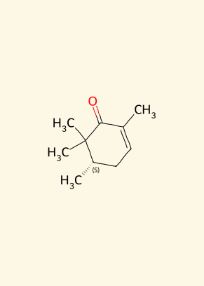 CC1=CC[C@H](C)C(C)(C)C1=O